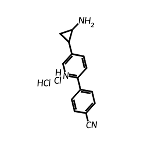 Cl.Cl.N#Cc1ccc(-c2ccc(C3CC3N)cn2)cc1